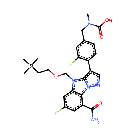 CN(Cc1ccc(-c2cnn3c4c(C(N)=O)cc(F)cc4n(COCC[Si](C)(C)C)c23)c(F)c1)C(=O)O